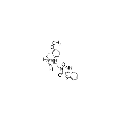 COc1cccc2c1CC[C@@H]1CNC(CCn3c(=O)[nH]c4c(sc5ccccc54)c3=O)[C@H]21